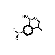 CC1COB(O)c2cc([N+](=O)[O-])ccc21